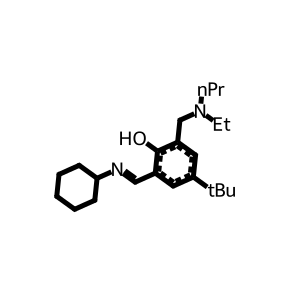 CCCN(CC)Cc1cc(C(C)(C)C)cc(/C=N/C2CCCCC2)c1O